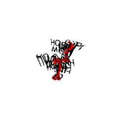 CN[C@@H](C(=O)N[C@H](C(=O)N(C)[C@H](/C=C(\C)C(=O)O)C(C)C)C(C)(C)C)C(C)(C)c1cccc(NC(=O)OCc2ccc(OC3OC(C(=O)O)C(O)C(O)C3O)c(NC(=O)CCNC(=O)CCCCC(=O)N3Cc4ccccc4C#Cc4ccccc43)c2)c1